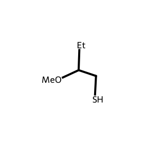 CCC(CS)OC